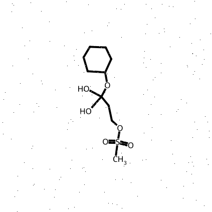 CS(=O)(=O)OCCC(O)(O)OC1CCCCC1